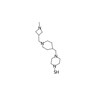 CN1CC(CN2CCC(CN3CCN(S)CC3)CC2)C1